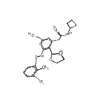 Cc1nc(CC(=O)NC2CCC2)c(C2OCCO2)c(NOc2cccc(C(F)(F)F)c2C)n1